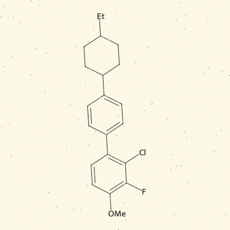 CCC1CCC(c2ccc(-c3ccc(OC)c(F)c3Cl)cc2)CC1